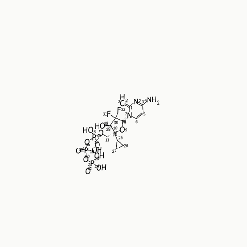 C=C1N=C(N)C=CN1[C@@H]1O[C@@](COP(=O)(O)OP(=O)(O)OP(=O)(O)O)(C2CC2)[C@@H](O)C1(F)F